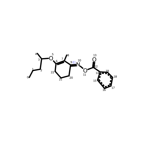 CCCC(C)OC1=C(C)/C(=N/OC(=O)c2ccccc2)CCC1